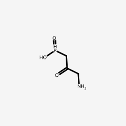 NCC(=O)C[PH](=O)O